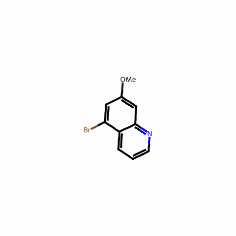 COc1cc(Br)c2cccnc2c1